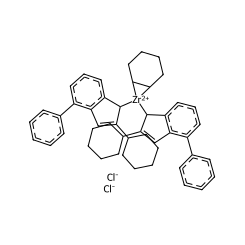 C1=C(C2CCCCC2)[CH]([Zr+2]2([CH]3C(C4CCCCC4)=Cc4c(-c5ccccc5)cccc43)[CH]3CCCC[CH]32)c2cccc(-c3ccccc3)c21.[Cl-].[Cl-]